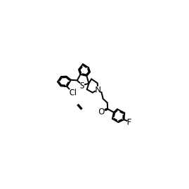 C=C.O=C(CCCN1CCC2(CC1)SC(c1ccccc1Cl)c1ccccc12)c1ccc(F)cc1